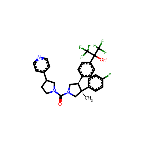 C[C@]1(c2ccc(F)cc2)CN(C(=O)N2CCC(c3ccncc3)C2)C[C@H]1c1ccc(C(O)(C(F)(F)F)C(F)(F)F)cc1